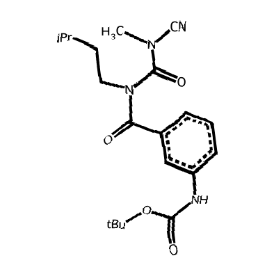 CC(C)CCN(C(=O)c1cccc(NC(=O)OC(C)(C)C)c1)C(=O)N(C)C#N